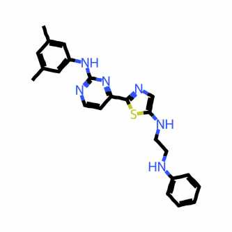 Cc1cc(C)cc(Nc2nccc(-c3ncc(NCCNc4ccccc4)s3)n2)c1